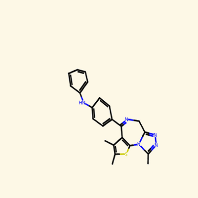 Cc1sc2c(c1C)C(c1ccc(Nc3ccccc3)cc1)=NCc1nnc(C)n1-2